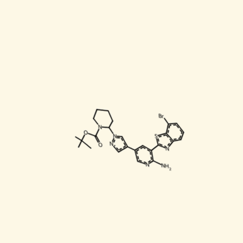 CC(C)(C)OC(=O)N1CCCCC1n1cc(-c2cnc(N)c(-c3nc4cccc(Br)c4s3)c2)cn1